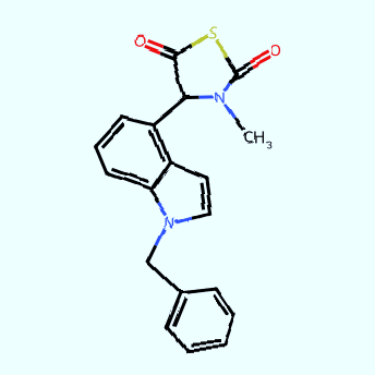 CN1C(=O)SC(=O)C1c1cccc2c1ccn2Cc1ccccc1